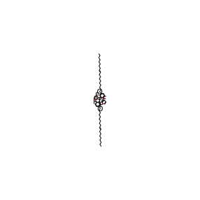 CCCCCCCCC=CCCCCCCCCOc1ccc(F)[c]([Ti]([C]2=CC=CC2)([C]2=CC=CC2)[c]2c(F)ccc(OCCCCCCCCC=CCCCCCCCC)c2F)c1F